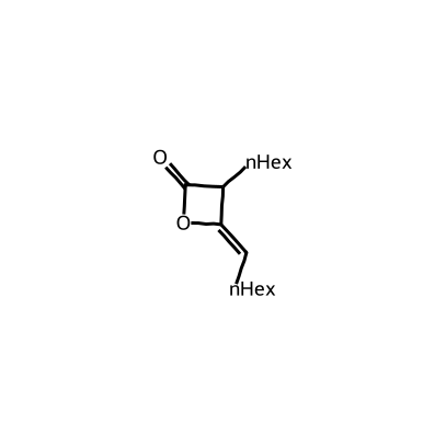 CCCCCCC=C1OC(=O)C1CCCCCC